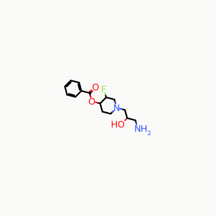 NC[C@@H](O)CN1CCC(OC(=O)c2ccccc2)C(F)C1